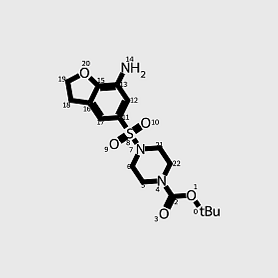 CC(C)(C)OC(=O)N1CCN(S(=O)(=O)c2cc(N)c3c(c2)CCO3)CC1